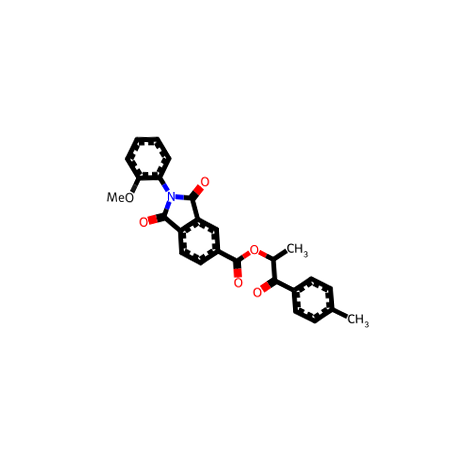 COc1ccccc1N1C(=O)c2ccc(C(=O)OC(C)C(=O)c3ccc(C)cc3)cc2C1=O